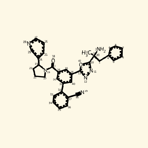 C[C@@](N)(Cc1ccccc1)c1nnc(-c2cc(C(=O)N3CCCC3c3cccnc3)cc(-c3ccccc3C#N)c2)o1